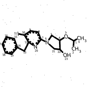 CC(C)OC1CN(c2ccc(I)c(Cc3ccccc3)n2)CC1O